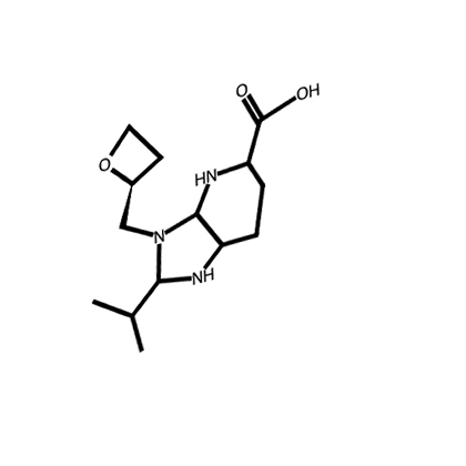 CC(C)C1NC2CCC(C(=O)O)NC2N1C[C@@H]1CCO1